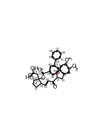 COc1cc2c(cc1OC)CC(C(=O)C=CC1CCC(O)C1(CC(=O)O)OC(=O)c1cccc(-c3ccccc3)c1)C2